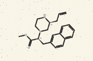 C=CC[C@H]1CN([C@@H](Cc2ccc3ccccc3c2)C(=O)OC)CCN1